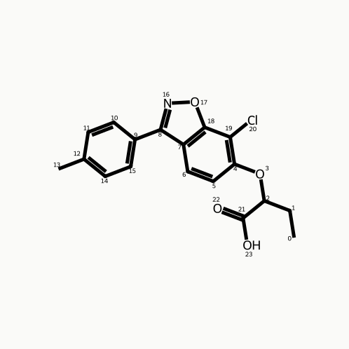 CCC(Oc1ccc2c(-c3ccc(C)cc3)noc2c1Cl)C(=O)O